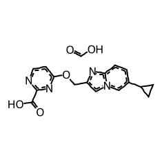 O=C(O)c1nccc(OCc2cn3cc(C4CC4)ccc3n2)n1.O=CO